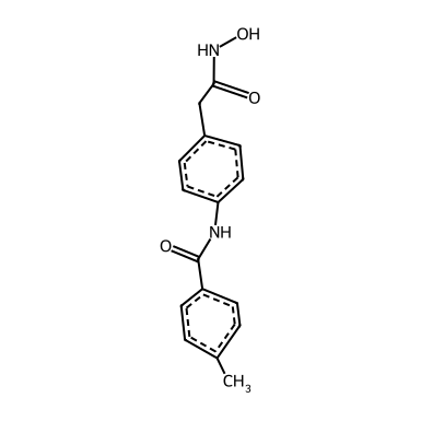 Cc1ccc(C(=O)Nc2ccc(CC(=O)NO)cc2)cc1